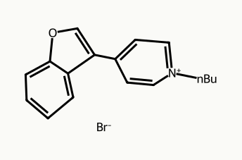 CCCC[n+]1ccc(-c2coc3ccccc23)cc1.[Br-]